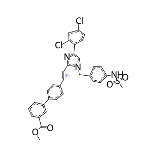 COC(=O)c1cccc(-c2ccc(/C=C/c3nc(-c4ccc(Cl)cc4Cl)cn3Cc3ccc(NS(C)(=O)=O)cc3)cc2)c1